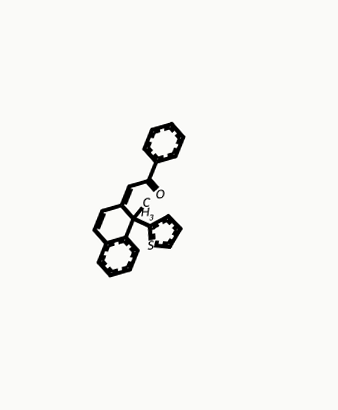 CC1(c2cccs2)C(=CC(=O)c2ccccc2)C=Cc2ccccc21